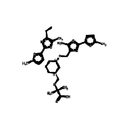 Cc1ccc(-c2nc(CI)c(C)o2)o1.Cc1ccc(-c2nc(CO[C@H]3CCC[C@@H](COC(C)(C)C(=O)O)C3)c(C)o2)o1